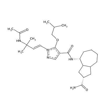 CC(=O)NC(C)(C)/C=C/n1ncc(C(=O)N[C@@H]2CCCCC3C[C@H](C(N)=O)CC32)c1OCC(C)C